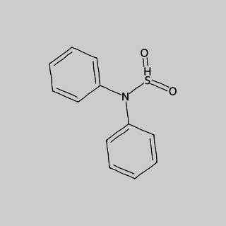 O=[SH](=O)N(c1ccccc1)c1ccccc1